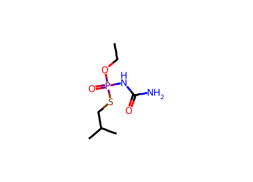 CCOP(=O)(NC(N)=O)SCC(C)C